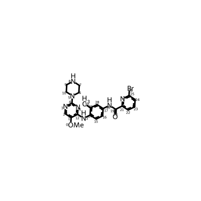 COc1cnc(N2CCNCC2)nc1Nc1ccc(NC(=O)c2cccc(Br)n2)cc1C